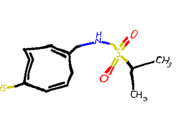 CC(C)S(=O)(=O)Nc1ccc(S)cc1